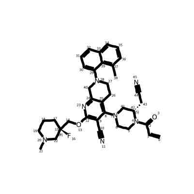 C=CC(=O)N1CCN(c2c(C#N)c(OC[C@@]3(F)CCCN(C)C3)nc3c2CCN(c2cccc4cccc(C)c24)C3)C[C@@H]1CC#N